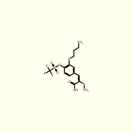 CCCCOc1cc(/C=C(/OC)C(=O)O)ccc1OS(=O)(=O)C(F)(F)F